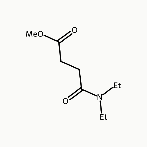 CCN(CC)C(=O)CCC(=O)OC